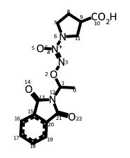 CC(ON=[N+]([O-])N1CCC(C(=O)O)C1)N1C(=O)c2ccccc2C1=O